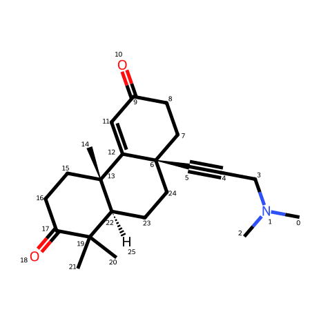 CN(C)CC#C[C@]12CCC(=O)C=C1[C@@]1(C)CCC(=O)C(C)(C)[C@@H]1CC2